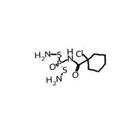 NSP(=O)(NC(=O)C1(Cl)CCCCC1)SN